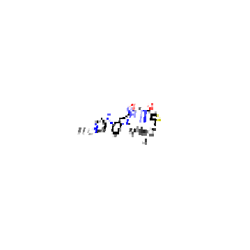 C=CCn1c(-c2noc(CNC(=O)c3csc(COC)c3)n2)cc2c(N[C@@H]3CCN(C)C[C@@H]3F)cccc21